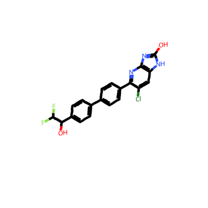 Oc1nc2nc(-c3ccc(-c4ccc(C(O)C(F)F)cc4)cc3)c(Cl)cc2[nH]1